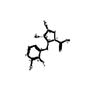 O=C(O)N1C[C@H](F)[C@@H](O)[C@@H]1Cc1cccc(Cl)c1F